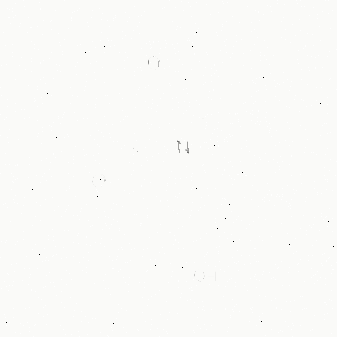 O=C1COCC2CCC(CO)N12